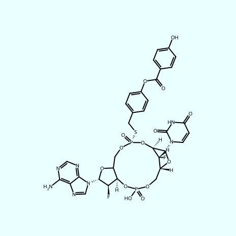 Nc1ncnc2c1ncn2[C@@H]1OC2CO[P@](=O)(SCc3ccc(OC(=O)c4ccc(O)cc4)cc3)O[C@@H]3[C@H](F)[C@@H](COP(=O)(O)O[C@H]2[C@H]1F)O[C@H]3n1ccc(=O)[nH]c1=O